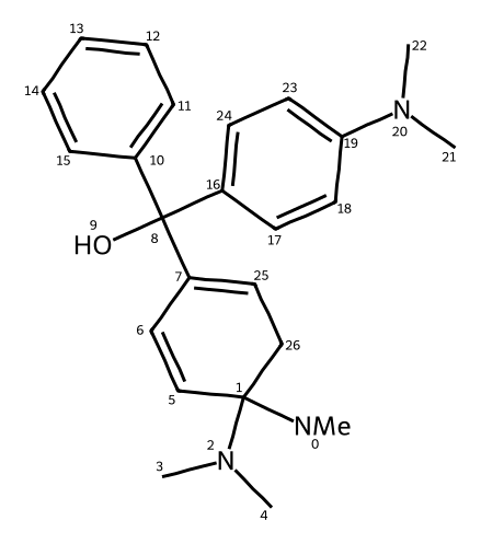 CNC1(N(C)C)C=CC(C(O)(c2ccccc2)c2ccc(N(C)C)cc2)=CC1